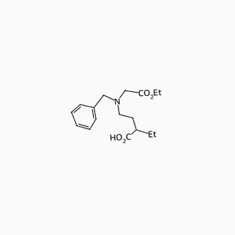 CCOC(=O)CN(CCC(CC)C(=O)O)Cc1ccccc1